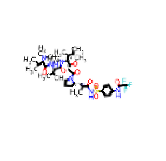 CC[C@H](C)[C@@H]([C@@H](CC(=O)N1CCC[C@H]1/C=C(\C)C(=O)NS(=O)(=O)c1ccc(NC(=O)C(F)(F)F)cc1)OC)N(C)C(=O)[C@@H](NC(=O)C(C(C)C)N(C)C)C(C)C